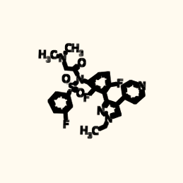 CCn1cc(-c2ccncc2)c(-c2c(F)ccc(N(C(=O)CN(C)C)S(=O)(=O)c3cccc(F)c3)c2F)n1